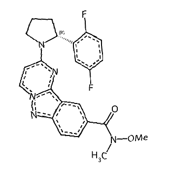 CON(C)C(=O)c1ccc2nn3ccc(N4CCC[C@@H]4c4cc(F)ccc4F)nc3c2c1